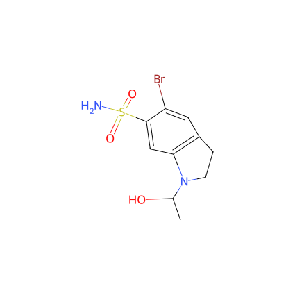 CC(O)N1CCc2cc(Br)c(S(N)(=O)=O)cc21